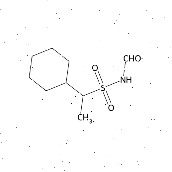 CC(C1CCCCC1)S(=O)(=O)N[C]=O